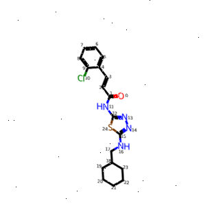 O=C(C=Cc1ccccc1Cl)Nc1nnc(NCC2CCCCC2)s1